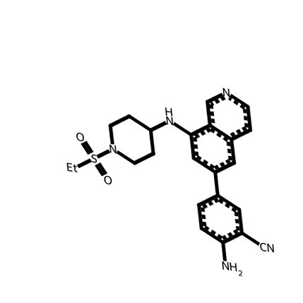 CCS(=O)(=O)N1CCC(Nc2cc(-c3ccc(N)c(C#N)c3)cc3ccncc23)CC1